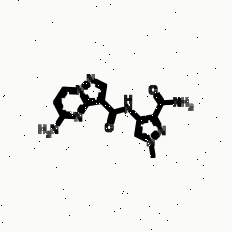 Cn1cc(NC(=O)c2cnn3ccc(N)nc23)c(C(N)=O)n1